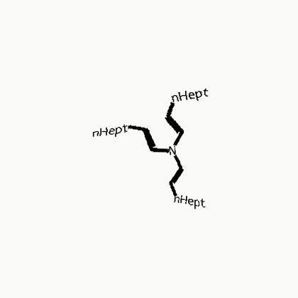 CCCCCCC/C=C/N(/C=C/CCCCCCC)/C=C/CCCCCCC